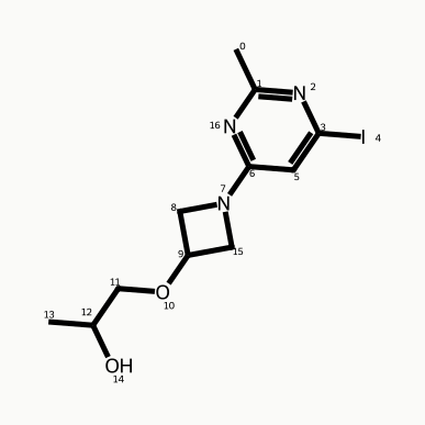 Cc1nc(I)cc(N2CC(OCC(C)O)C2)n1